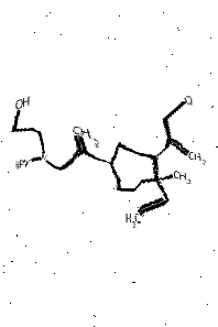 C=C[C@]1(C)CC[C@@H](C(=C)CN(CCO)C(C)C)C[C@H]1C(=C)CCl